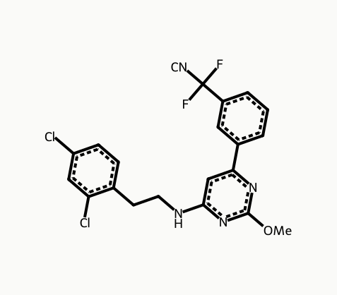 [C-]#[N+]C(F)(F)c1cccc(-c2cc(NCCc3ccc(Cl)cc3Cl)nc(OC)n2)c1